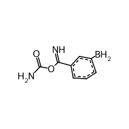 Bc1cccc(C(=N)OC(N)=O)c1